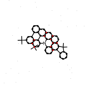 CC(C)(C)c1cc(-c2cccc3cccc(-c4ccccc4N(c4ccccc4-c4ccccc4)c4ccccc4-c4ccc5c(c4)C(C)(C)c4ccccc4-5)c23)cc(C(C)(C)C)c1